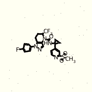 CS(=O)(=O)c1cc(C2(NC(=O)N3c4cnn(-c5ccc(F)cc5)c4CCC3C(F)(F)F)CC2)ccn1